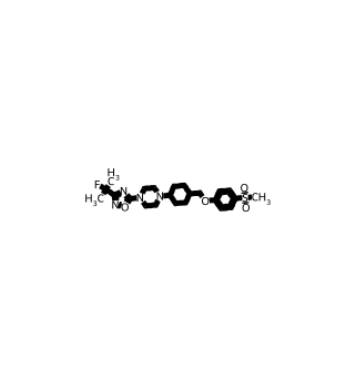 CC(C)(F)c1noc(N2CCN(C3CCC(COc4ccc(S(C)(=O)=O)cc4)CC3)CC2)n1